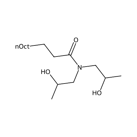 CCCCCCCCCCC(=O)N(CC(C)O)CC(C)O